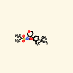 CC(C)S(=O)(=O)NC1COCCC1(O)c1ccc([Si](C)(C)C)cc1